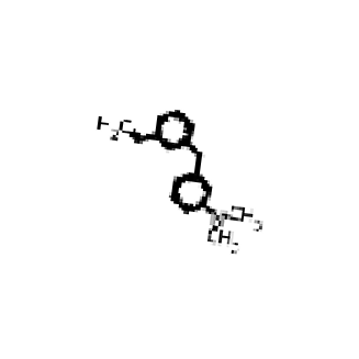 C=Cc1cccc(Cc2cccc(N(C)C)c2)c1